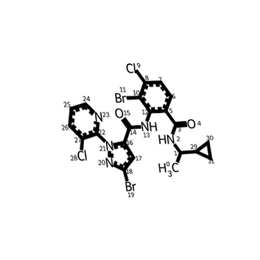 CC(NC(=O)c1ccc(Cl)c(Br)c1NC(=O)c1cc(Br)nn1-c1ncccc1Cl)C1CC1